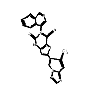 Cc1cc2ncnn2cc1-c1cc2[nH]c(=O)n(-c3cncc4ccccc34)c(=O)c2s1